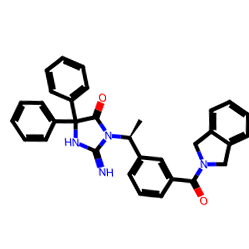 C[C@@H](c1cccc(C(=O)N2Cc3ccccc3C2)c1)N1C(=N)NC(c2ccccc2)(c2ccccc2)C1=O